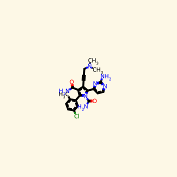 Cc1ccc(Cl)cc1-c1c(C(N)=O)c(C#CCN(C)C)c(-c2ccnc(N)n2)n1C(N)=O